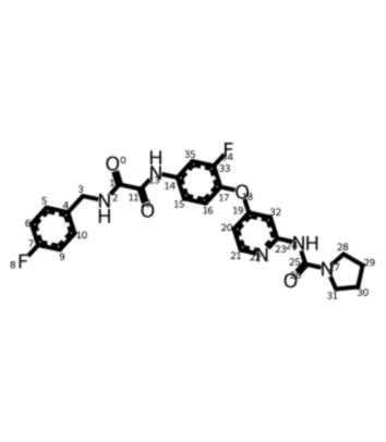 O=C(NCc1ccc(F)cc1)C(=O)Nc1ccc(Oc2ccnc(NC(=O)N3CCCC3)c2)c(F)c1